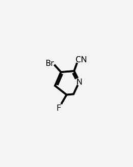 N#CC1=NCC(F)C=C1Br